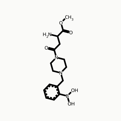 COC(=O)C(N)CC(=O)N1CCN(Cc2ccccc2B(O)O)CC1